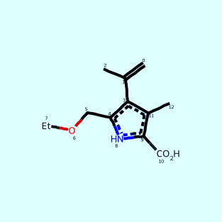 C=C(C)c1c(COCC)[nH]c(C(=O)O)c1C